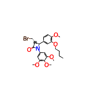 CCCCOc1cc(C2[C@@H](CBr)C(=O)N2c2cc(OC)c(OC)c(OC)c2)ccc1OC